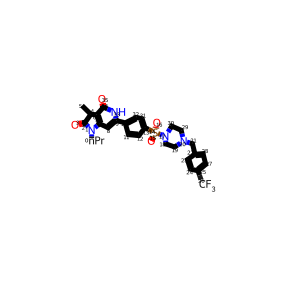 CCCN1C(=O)C(C)c2c1cc(-c1ccc(S(=O)(=O)N3CCN(Cc4ccc(C(F)(F)F)cc4)CC3)cc1)[nH]c2=O